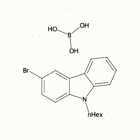 CCCCCCn1c2ccccc2c2cc(Br)ccc21.OB(O)O